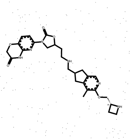 Cc1c(OC[C@H]2CCN2)ncc2c1CC(CNCCC1CN(c3ccc4c(n3)NC(=O)CO4)C(=O)O1)C2